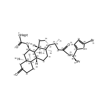 CCCCCCCC(=O)O[C@@H]1C[C@@H]2CC(=O)CC[C@]2(C)[C@H]2CC[C@]3(C)[C@@H]([C@H](C)CC(=O)N[C@@H](c4ccc(Br)s4)C(C)C)CC[C@H]3[C@H]12